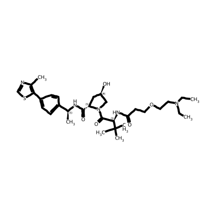 CCN(CC)CCOCCC(=O)N[C@H](C(=O)N1C[C@H](O)C[C@H]1C(=O)N[C@@H](C)c1ccc(-c2scnc2C)cc1)C(C)(C)C